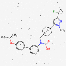 CC(C)Oc1ccc(-c2cccc(N(CC34CCC(c5cc(C6(F)CC6)nn5C)(CC3)CC4)C(=O)O)c2)cc1